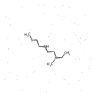 CCN(C)CCNCCSC